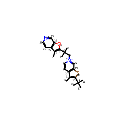 Cc1c(C(C)(C)C[n+]2ccc3c(C)c(C(C)(C)C)sc3c2)oc2cnccc12